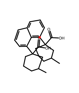 CC1CCCC(C(=O)O)(c2cccc3cccc(C4(C(=O)O)CCCC(C)C4)c23)C1